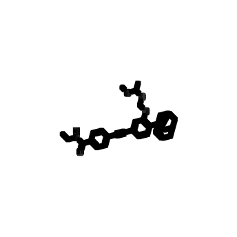 CCNC(=O)c1ccc(C#Cc2ccc(C34CC5CC(CC(C5)C3)C4)c(OCOC(C)OC)c2)cc1